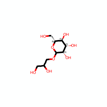 OCC(O)COC1O[C@H](CO)[C@@H](O)[C@H](O)[C@@H]1O